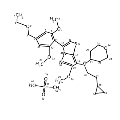 CCOCc1cc(OC)c(-c2csc3c(N(CCC4CC4)C4CCOCC4)c(OC)nn23)c(OC)c1.CS(=O)(=O)O